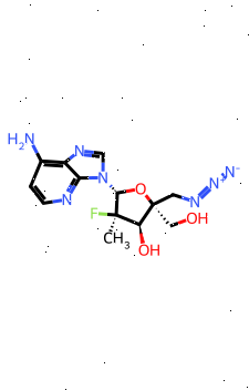 C[C@@]1(F)[C@H](O)[C@](CO)(CN=[N+]=[N-])O[C@H]1n1cnc2c(N)ccnc21